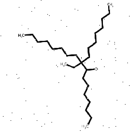 CCCCCCCCC(CC)(CCCCCCCC)C([O])CCCCCCC